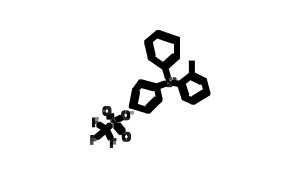 Cc1ccccc1[S+](c1ccccc1)c1ccccc1.O=S(=O)([O-])C(F)(F)F